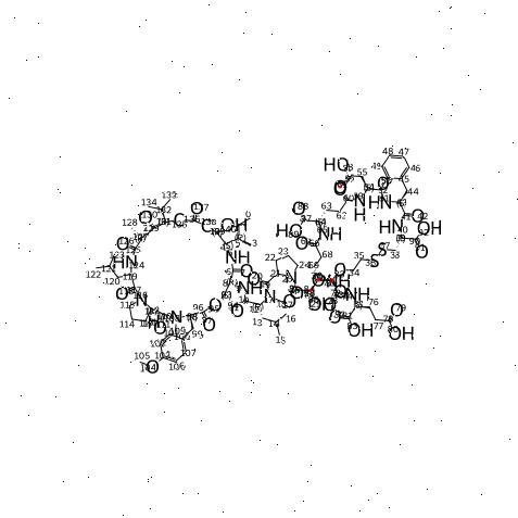 CC[C@@H](C)[C@@H]1NC(=O)[C@H](NC(=O)[C@@H](CC(C)C)N(C)C(=O)C2CCCN2C(=O)[C@@H](C)OC(=O)OCCSSC[C@H](NC(=O)[C@H](Cc2ccccc2)NC(=O)[C@H](CC(=O)O)NC(=O)CC[C@H](NC(=O)CC[C@H](NC(=O)N[C@@H](CCC(=O)O)C(=O)O)C(=O)O)C(=O)O)C(=O)O)[C@H](C)OC(=O)[C@@H](Cc2ccc(OC)cc2)N(C)C(=O)[C@H]2CCCN2C(=O)C(CC(C)C)NC(=O)[C@H](C)C(=O)[C@@H](C(C)C)CC(=O)C[C@H]1O